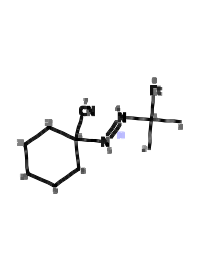 CCC(C)(C)/N=N/C1(C#N)CCCCC1